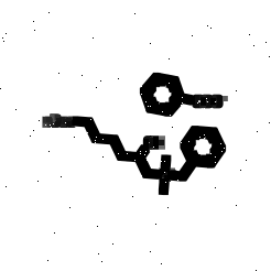 CCCCCCCCCCCCCCC(O)C[N+](C)(C)Cc1ccccc1.O=C([O-])c1ccccc1